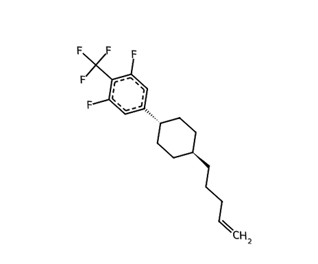 C=CCCC[C@H]1CC[C@H](c2cc(F)c(C(F)(F)F)c(F)c2)CC1